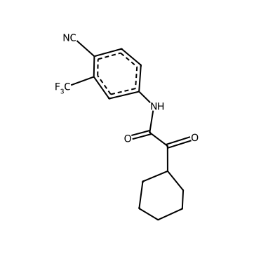 N#Cc1ccc(NC(=O)C(=O)C2CCCCC2)cc1C(F)(F)F